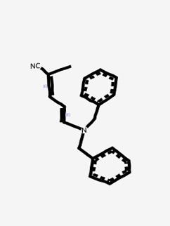 C/C(C#N)=C\C=C\N(Cc1ccccc1)Cc1ccccc1